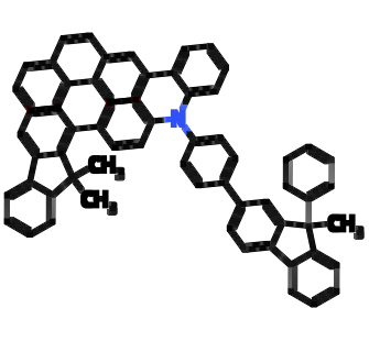 CC1(C)c2ccccc2-c2cccc(-c3ccc(N(c4ccc(-c5ccc6c(c5)C(C)(c5ccccc5)c5ccccc5-6)cc4)c4ccccc4-c4ccc5c(ccc6ccccc65)c4)cc3)c21